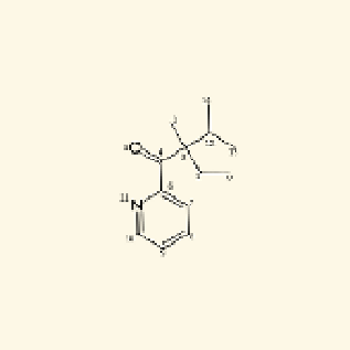 CCC(C)(C(=O)c1ccccn1)C(C)C